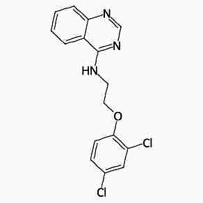 Clc1ccc(OCCNc2ncnc3ccccc23)c(Cl)c1